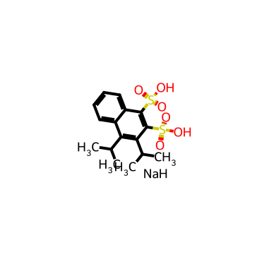 CC(C)c1c(S(=O)(=O)O)c(S(=O)(=O)O)c2ccccc2c1C(C)C.[NaH]